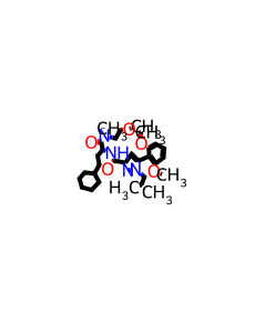 COCCN(C)C(=O)C(CCC1CCCCC1)NC(=O)c1cc(-c2c(OC)cccc2OC)n(CC(C)C)n1